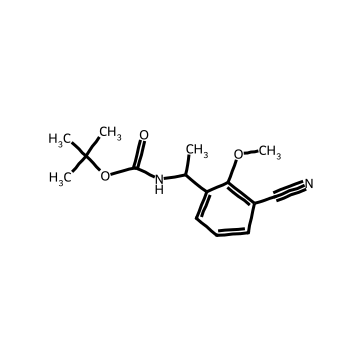 COc1c(C#N)cccc1C(C)NC(=O)OC(C)(C)C